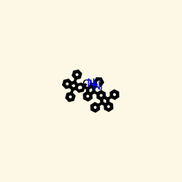 CC1(c2c3ccccc3c(-c3ccc4c(-c5ccccc5)c5ccccc5c(-c5ccccc5)c4c3)c3c2nc2ccccn23)C=Cc2c(c(-c3ccccc3)c3ccccc3c2-c2ccccc2)C1